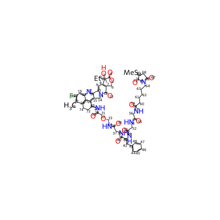 CC[C@@]1(O)C(=O)OCc2c1cc1n(c2=O)Cc2c-1nc1cc(F)c(C)c3c1c2[C@@H](NC(=O)COCNC(=O)CNC(=O)[C@H](Cc1ccccc1)NC(=O)CNC(=O)CNC(=O)CCCCCN1C(=O)CC(SC)C1=O)CC3